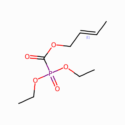 C/C=C/COC(=O)P(=O)(OCC)OCC